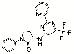 O=C1C(Nc2cc(C(F)(F)F)nc(-c3ccccn3)n2)CCN1c1ccccc1